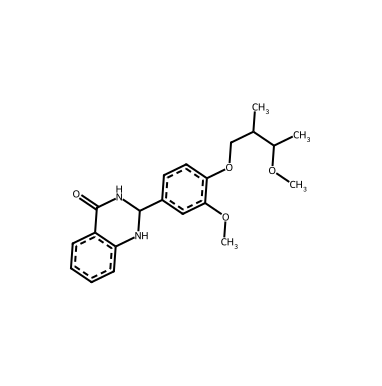 COc1cc(C2NC(=O)c3ccccc3N2)ccc1OCC(C)C(C)OC